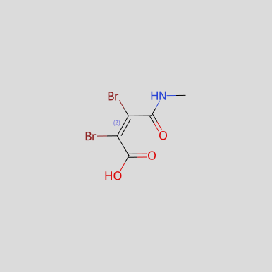 CNC(=O)/C(Br)=C(/Br)C(=O)O